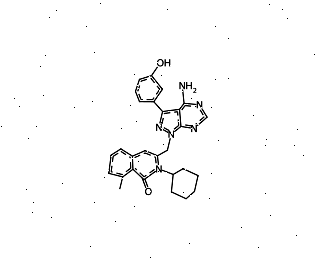 Cc1cccc2cc(Cn3nc(-c4cccc(O)c4)c4c(N)ncnc43)n(C3CCCCC3)c(=O)c12